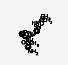 Cc1cc(N)ccc1C(=O)NC(Cc1ccccc1)C(O)CN(Cc1ccc2nc(NC(=O)CN(C)C)sc2c1)CC(C)C